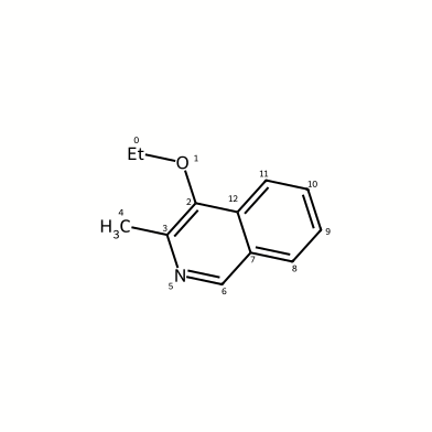 CCOc1c(C)ncc2ccccc12